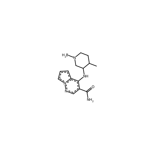 BN1CCC(C)C(Nc2c(C(N)=O)cnn3cccc23)C1